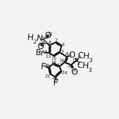 CC1(C)OC(c2ccc(S(N)(=O)=O)c(Br)c2)=C(c2cc(F)cc(F)c2)C1=O